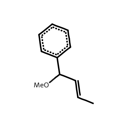 CC=CC(OC)c1ccccc1